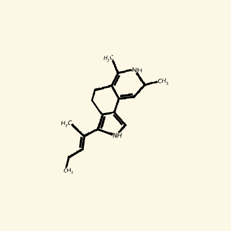 CC/C=C(\C)c1[nH]cc2c1CCC1=C(C)NC(C)C=C12